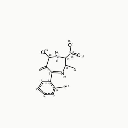 C=C1C(c2ccccc2F)=NC(C)C([N+](=O)[O-])NC1Cl